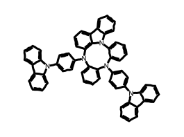 c1ccc2c(c1)N(c1ccc(-n3c4ccccc4c4ccccc43)cc1)c1ccccc1-n1c3ccccc3c3cccc(c31)N2c1ccc(-n2c3ccccc3c3ccccc32)cc1